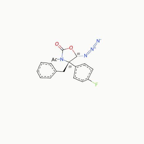 CC(=O)N1C(=O)O[C@H](N=[N+]=[N-])[C@]1(Cc1ccccc1)c1ccc(F)cc1